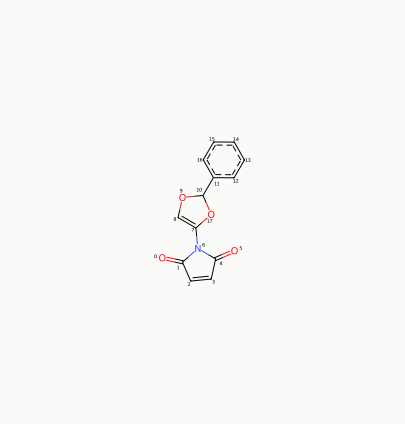 O=C1C=CC(=O)N1C1=COC(c2ccccc2)O1